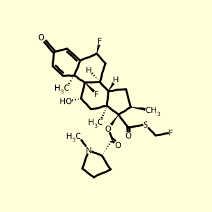 C[C@@H]1C[C@H]2[C@@H]3C[C@H](F)C4=CC(=O)C=C[C@]4(C)[C@@]3(F)[C@@H](O)C[C@]2(C)[C@@]1(OC(=O)[C@@H]1CCCN1C)C(=O)SCF